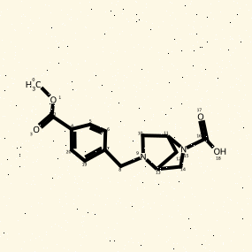 COC(=O)c1ccc(CN2CC3CC2CN3C(=O)O)cc1